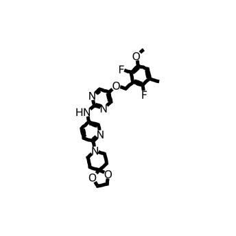 COc1cc(C)c(F)c(COc2cnc(Nc3ccc(N4CCC5(CC4)OCCO5)nc3)nc2)c1F